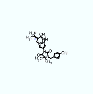 CC(=N)/C(Cn1cc(N2C(=O)N(Cc3ccc(O)cc3)C(C)(C)C2=O)cn1)=C(/C)P